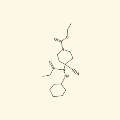 CCOC(=O)N1CCC(C#N)(N(NC2CCCCC2)C(=O)CC)CC1